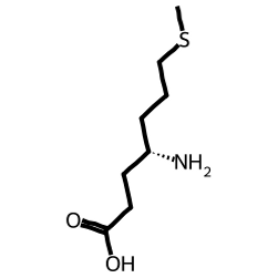 CSCCC[C@H](N)CCC(=O)O